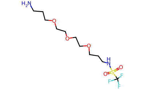 NCCCOCCOCCOCCCNS(=O)(=O)C(F)(F)F